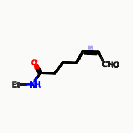 CCNC(=O)CCC/C=C\C=O